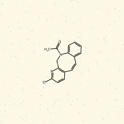 CC(=O)N1Cc2nc(Cl)ccc2/C=C\c2ccccc21